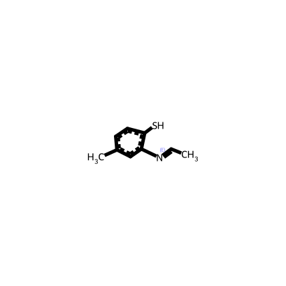 C/C=N/c1cc(C)ccc1S